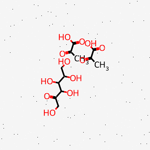 CC(=O)C(=O)O.CC(=O)C(=O)O.O=C(CO)C(O)C(O)C(O)CO